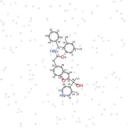 Cc1ccc(C(NC(=O)Cc2ccc3oc(C(C)(O)c4ccncc4C)cc3c2)c2ccccc2)c(C)c1